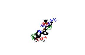 C[C@@](O)(c1ccnc(-c2cccc3cc([C@H](NS(=O)(=O)C4CC4)c4nc(N)ccc4Cl)sc23)c1)C(F)(F)F